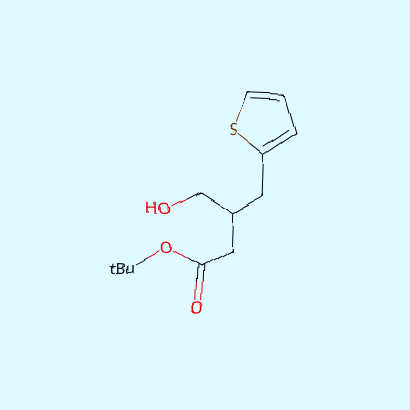 CC(C)(C)OC(=O)CC(CO)Cc1cccs1